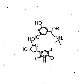 CC(C)(C)NCC(O)c1cc(O)cc(O)c1.O=c1[nH]c(=O)n(C2C[C@H](O)[C@@H](CO)O2)cc1I